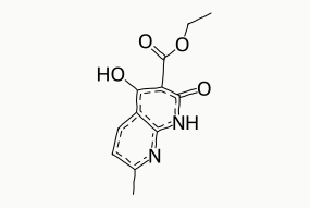 CCOC(=O)c1c(O)c2ccc(C)nc2[nH]c1=O